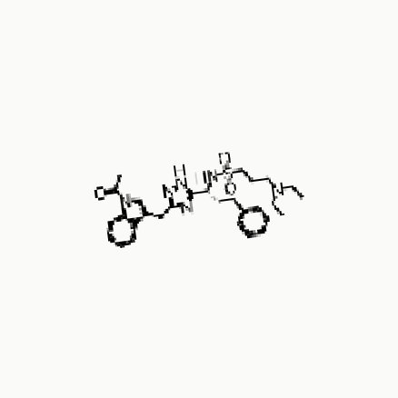 CCN(CC)CCCS(=O)(=O)N[C@H](CCc1ccccc1)c1nc(Cc2cn(C(C)=O)c3ccccc23)n[nH]1